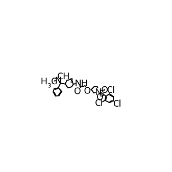 CN(C)C(c1ccccc1)C1CCC(NC(=O)COC2CCN(S(=O)(=O)c3c(Cl)cc(Cl)cc3Cl)C2)CC1